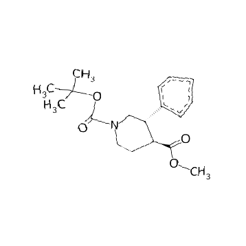 COC(=O)[C@H]1CCN(C(=O)OC(C)(C)C)C[C@@H]1c1ccccc1